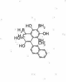 BC(=C)c1c(O)c(B)c(O)c(B)c1/C(=C(/O)CO)c1ccc2ccccc2c1C